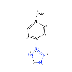 COc1ccc(-[n+]2nnc[nH]2)cc1